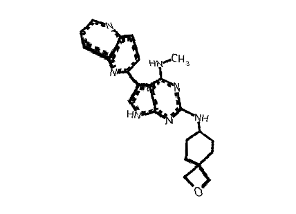 CNc1nc(NC2CCC3(CC2)COC3)nc2[nH]cc(-c3ccc4ncccc4n3)c12